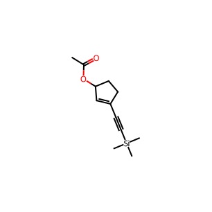 CC(=O)OC1C=C(C#C[Si](C)(C)C)CC1